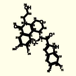 CN(C(=O)c1cc2cc(F)c(F)cc2[nH]1)[C@H]1COCc2c1c1cc(F)c(F)cc1c(=O)n2CCO